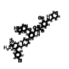 CC1(C)CCC(CN2CCN(c3ccc(C(=O)NS(=O)(=O)c4ccc(NCC5CCOCC5)c(N=O)c4)c(Oc4cc5cc[nH]c5cn4)c3)CC2)=C(c2ccc(Cl)cc2)C1